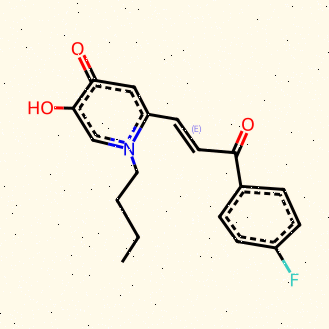 CCCCn1cc(O)c(=O)cc1/C=C/C(=O)c1ccc(F)cc1